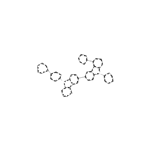 c1ccc(-c2ccc(-n3c4ccccc4c4cc(-c5ccc6c(c5)c5c(-c7ccccc7)cccc5n6-c5ccccc5)ccc43)cc2)cc1